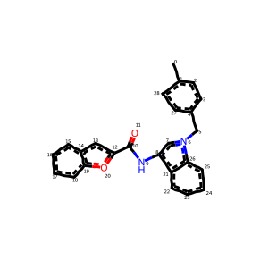 Cc1ccc(Cn2cc(NC(=O)c3cc4ccccc4o3)c3ccccc32)cc1